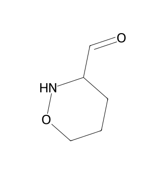 O=CC1CCCON1